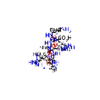 CCCCN(C(=O)NC(CC(=O)NC(C=O)CCCCN)C(=O)NC(CCCNC(=N)N)C(=O)O)C(=O)C(CCCCN)NC(=O)CC(NC(=O)C1CCCN1C)C(=O)NC(CCCNC(=N)N)C(=O)O